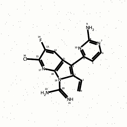 C=Cc1c(-c2ccnc(N)n2)c2cc(F)c(Cl)nc2n1C(=N)N